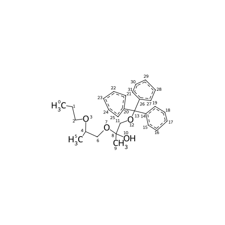 CCCOC(C)COC(C)(O)COC(c1ccccc1)(c1ccccc1)c1ccccc1